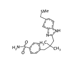 CSCc1ccc2[nH]c(CC(C)(C)Cc3ccc(S(N)(=O)=O)cc3)nc2c1